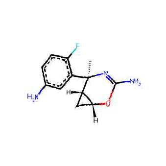 C[C@]1(c2cc(N)ccc2F)N=C(N)O[C@@H]2C[C@@H]21